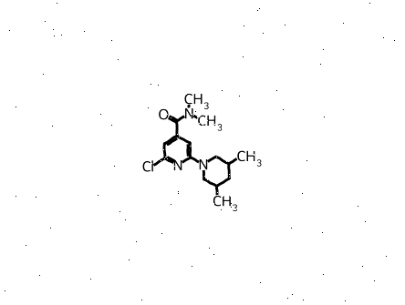 CC1CC(C)CN(c2cc(C(=O)N(C)C)cc(Cl)n2)C1